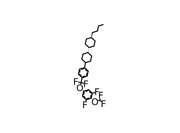 CCCC[C@H]1CC[C@H](C2CCC(c3ccc(C(F)(F)Oc4cc(F)c(OC(F)F)c(F)c4)cc3)CC2)CC1